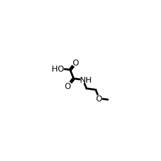 COCCNC(=O)C(=O)O